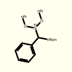 CCCCCCCCCC(c1ccccc1)[SiH](OCCC)OCCC